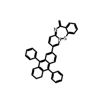 C=C1N=C2C=CC(c3ccc4c(-c5ccccc5)c5c(c(-c6ccccc6)c4c3)C=CCC5)=CN2Sc2ccccc21